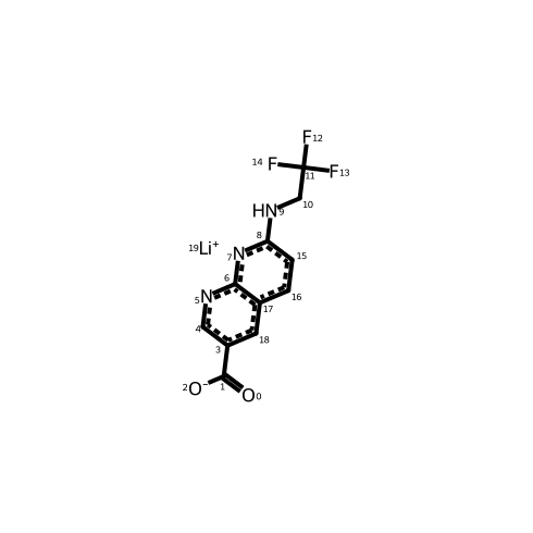 O=C([O-])c1cnc2nc(NCC(F)(F)F)ccc2c1.[Li+]